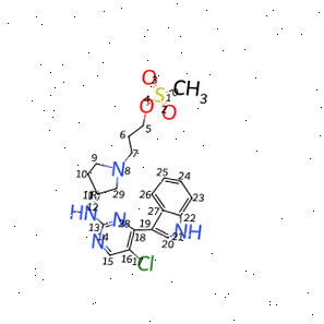 CS(=O)(=O)OCCCN1CC[C@@H](Nc2ncc(Cl)c(-c3c[nH]c4ccccc34)n2)C1